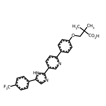 CC(C)(COc1ccc(-c2ccc(-c3ncc(-c4ccc(C(F)(F)F)cc4)[nH]3)cn2)cc1)C(=O)O